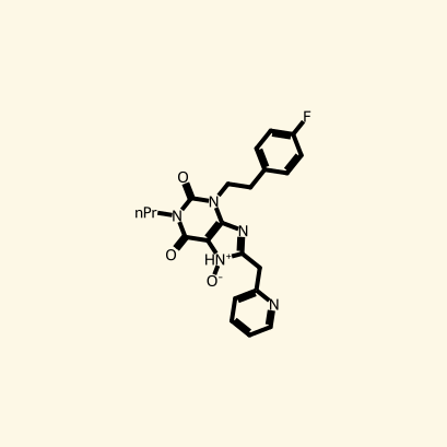 CCCn1c(=O)c2c(n(CCc3ccc(F)cc3)c1=O)N=C(Cc1ccccn1)[NH+]2[O-]